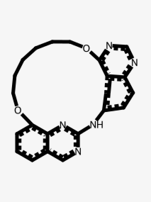 c1cc2c3nc(ncc3c1)Nc1ccc3ncnc(c3c1)OCCCCCCO2